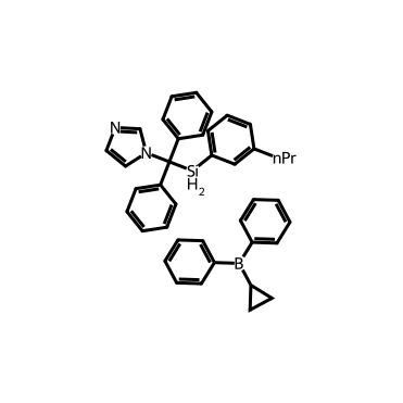 CCCc1cccc([SiH2]C(c2ccccc2)(c2ccccc2)n2ccnc2)c1.c1ccc(B(c2ccccc2)C2CC2)cc1